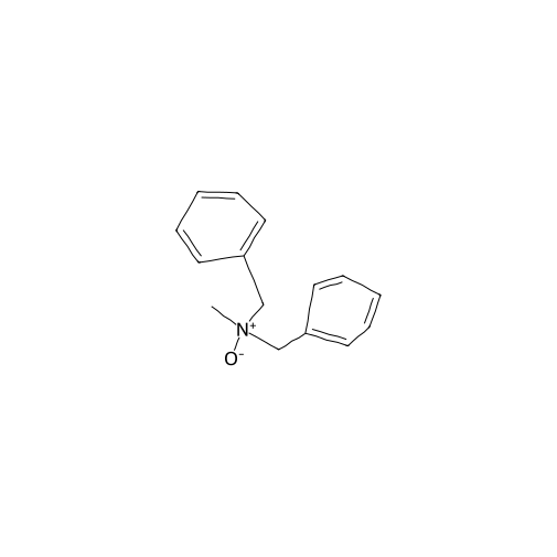 C[N+]([O-])(Cc1ccccc1)Cc1ccccc1